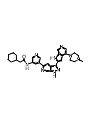 CN1CCN(c2cncc3[nH]c(-c4n[nH]c5cnc(-c6cncc(NC(=O)CC7CCCCC7)c6)cc45)cc23)CC1